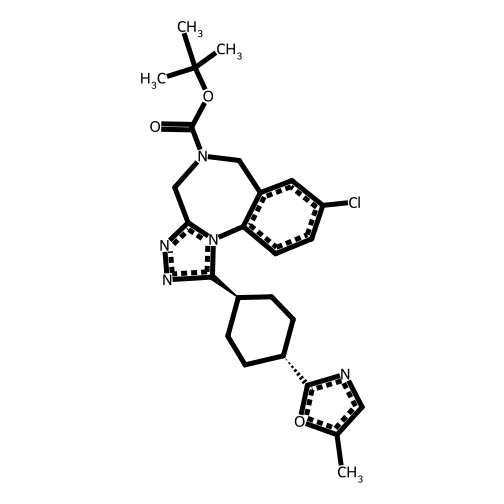 Cc1cnc([C@H]2CC[C@H](c3nnc4n3-c3ccc(Cl)cc3CN(C(=O)OC(C)(C)C)C4)CC2)o1